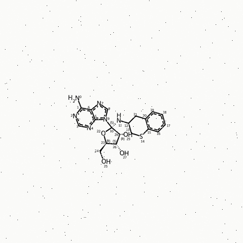 Nc1ncnc2c1ncn2[C@]1(NC2CSc3ccccc3C2)O[C@H](CO)[C@@H](O)[C@H]1O